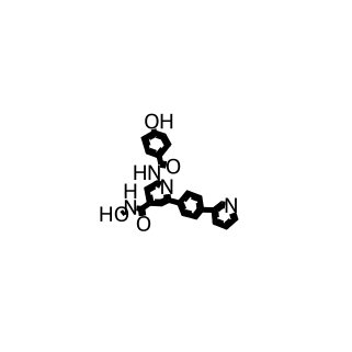 O=C(NO)c1cc(NC(=O)c2ccc(O)cc2)nc(-c2ccc(-c3cccnc3)cc2)c1